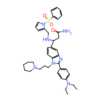 [CH2][CH]N([CH][CH2])c1ccc(-c2nc3cc(C(CC(N)=O)NCc4cccn4S(=O)(=O)c4ccccc4)ccc3n2CCCN2CCCCC2)cc1